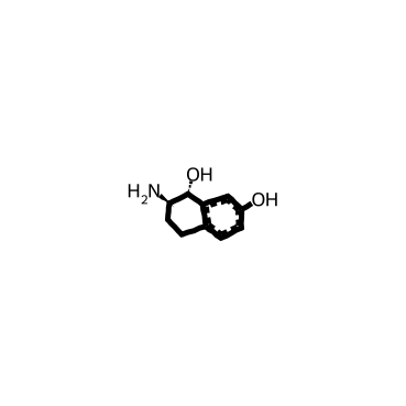 N[C@@H]1CCc2ccc(O)cc2[C@H]1O